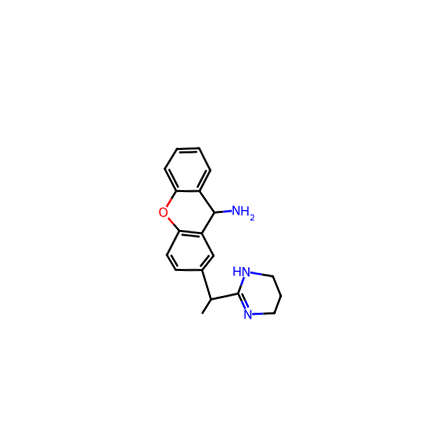 CC(C1=NCCCN1)c1ccc2c(c1)C(N)c1ccccc1O2